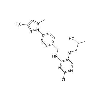 Cc1cc(C(F)(F)F)nn1-c1ccc(CNc2nc(Cl)ncc2OCC(C)O)cc1